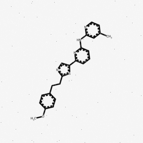 COc1ccc(CCc2ncc(-c3cccc(Nc4cc(C)ccn4)n3)s2)cc1